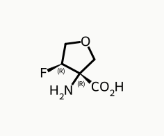 N[C@@]1(C(=O)O)COC[C@@H]1F